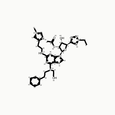 CCn1nnc([C@H]2O[C@@H](n3cnc4c(N(CO)CCc5ccccc5)nc(NCCc5cn(C)cn5)nc43)[C@H](OC(C)=O)[C@@H]2O)n1